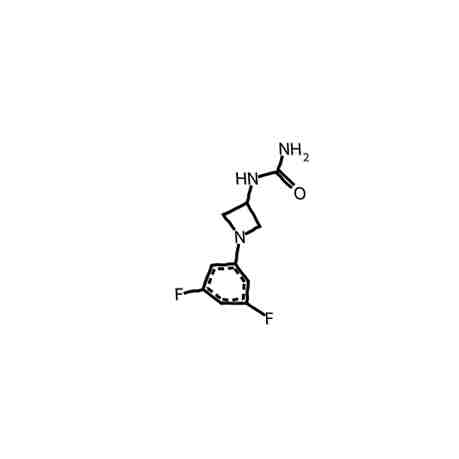 NC(=O)NC1CN(c2cc(F)cc(F)c2)C1